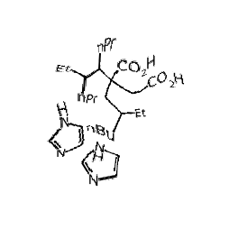 CCCCC(CC)CC(CC(=O)O)(C(=O)O)C(CCC)C(CC)CCC.c1c[nH]cn1.c1c[nH]cn1